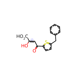 O=C(O)/C(O)=C/C(=O)c1ccc(Cc2ccccc2)s1